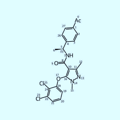 CC(=O)c1ccc([C@H](C)NC(=O)c2c(C)nn(C)c2Oc2cccc(Cl)c2Cl)cc1